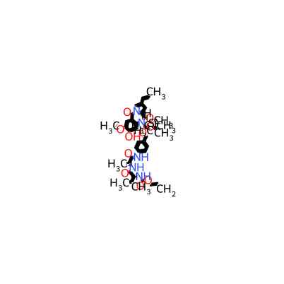 C=CCOC(=O)N[C@H](C(=O)N[C@@H](C)C(=O)Nc1ccc(COC(=O)N2c3cc(O)c(OC)cc3C(=O)N3C=C(C=CC)C[C@H]3[C@@H]2O[Si](C)(C)C(C)(C)C)cc1)C(C)C